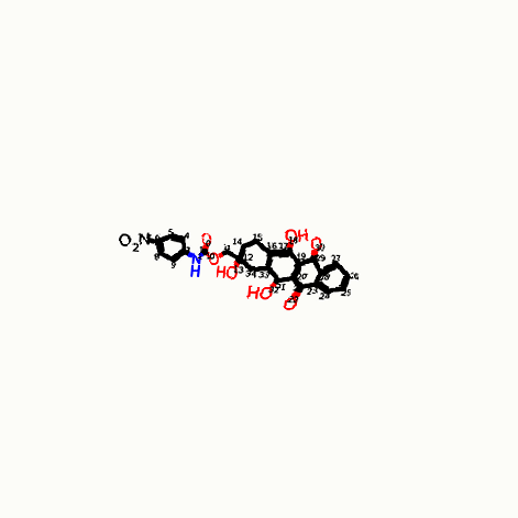 O=C(Nc1ccc([N+](=O)[O-])cc1)OCC1(O)CCC2=C(O)C3=C(C(=O)c4ccccc4C3=O)C(O)C2C1